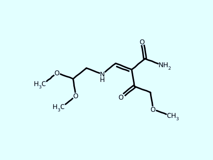 COCC(=O)/C(=C\NCC(OC)OC)C(N)=O